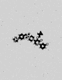 CC1(COc2c(N3CCN(S(=O)(=O)Cc4ccc(-n5cncn5)cc4)CC3)cnn(-c3cccc(Cl)c3)c2=O)CC1